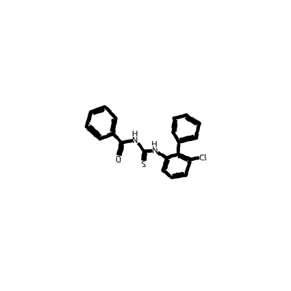 O=C(NC(=S)Nc1cccc(Cl)c1-c1ccccc1)c1ccccc1